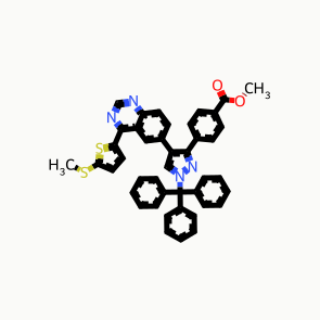 COC(=O)c1ccc(-c2nn(C(c3ccccc3)(c3ccccc3)c3ccccc3)cc2-c2ccc3ncnc(-c4ccc(SC)s4)c3c2)cc1